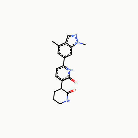 Cc1cc(-c2ccc(C3CCCNC3=O)c(=O)[nH]2)cc2c1cnn2C